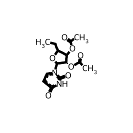 CCC1OC(n2ccc(=O)[nH]c2=O)[C@@H](OC(C)=O)C1OC(C)=O